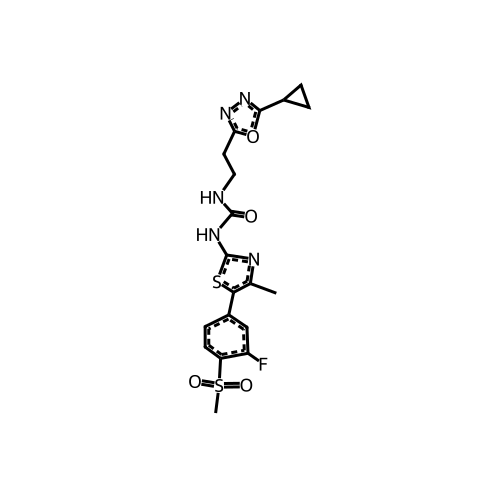 Cc1nc(NC(=O)NCCc2nnc(C3CC3)o2)sc1-c1ccc(S(C)(=O)=O)c(F)c1